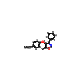 COc1ccc(Oc2c(-c3ccccc3)noc2C)cc1